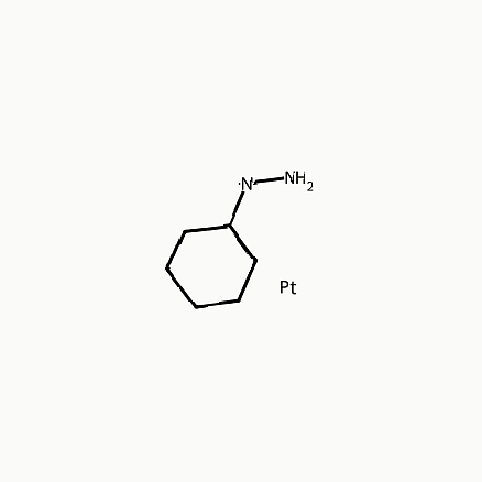 N[N]C1CCCCC1.[Pt]